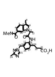 CNC(=O)c1ccc2c(C)cn(C(C)C(=O)Nc3cc(Cn4cnc(C)n4)ccc3CCCC(=O)O)c2c1